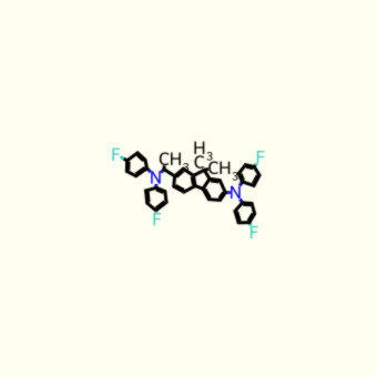 CC(c1ccc2c(c1)C(C)(C)c1cc(N(c3ccc(F)cc3)c3ccc(F)cc3)ccc1-2)N(c1ccc(F)cc1)c1ccc(F)cc1